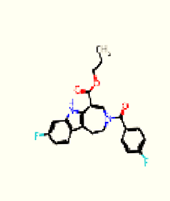 CCCOC(=O)C1=CN(C(=O)c2ccc(F)cc2)CCc2c1[nH]c1cc(F)ccc21